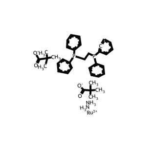 CC(C)(C)C(=O)[O-].CC(C)(C)C(=O)[O-].N.N.[Ru+2].c1ccc(P(CCP(c2ccccc2)c2ccccc2)c2ccccc2)cc1